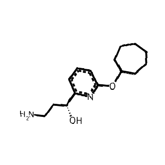 NCC[C@@H](O)c1cccc(OC2CCCCCC2)n1